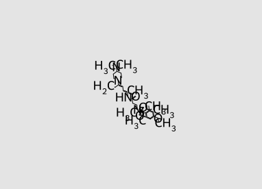 C=C/C(=C\C=C(/C)NC(=O)CCN(C)S(=O)(=O)c1c(C)cc(OC)c(C)c1C)N1CCC(N(C)C)CC1